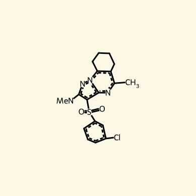 CNc1nn2c3c(c(C)nc2c1S(=O)(=O)c1cccc(Cl)c1)CCCC3